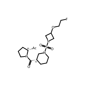 CC(=O)[C@H]1CCCN1C(=O)[C@H]1CCCN(S(=O)(=O)N2CC(OCCF)C2)C1